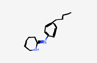 CCCCc1ccc(/N=C2\CCCCN2)cc1